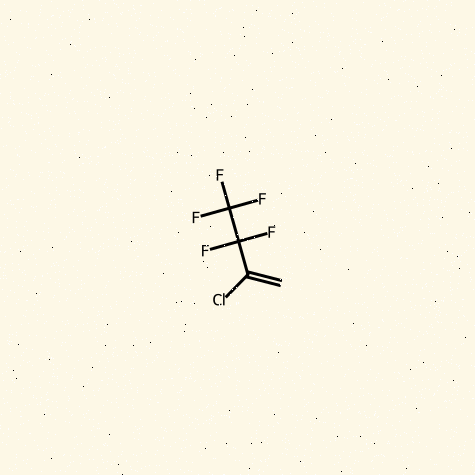 C=C(Cl)C(F)(F)C(F)(F)F